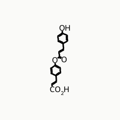 O=C(O)C=Cc1ccc(OC(=O)C=Cc2ccc(O)cc2)cc1